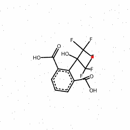 O=C(O)c1cccc(C(=O)O)c1C(O)(C(F)(F)F)C(F)(F)F